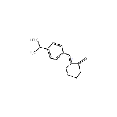 CC(C(=O)O)c1ccc(/C=C2\CSCCC2=O)cc1